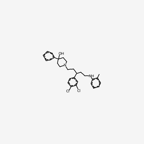 Cc1ccccc1NCCC(CCN1CCC(O)(c2ccccc2)CC1)c1ccc(Cl)c(Cl)c1